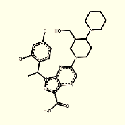 CC(c1ccc(Cl)cc1Cl)n1nc(C(N)=O)c2ncc(N3CCC(N4CCCCC4)C(CO)C3)nc21